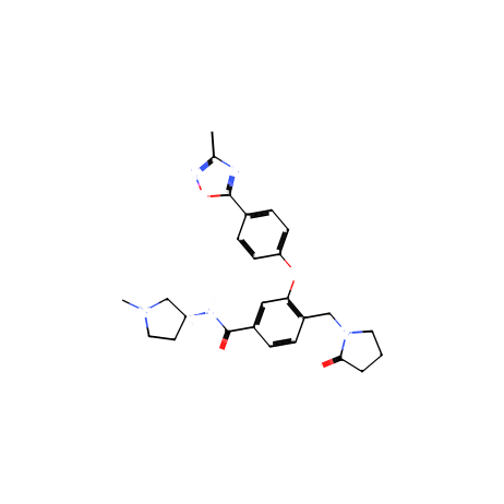 Cc1noc(-c2ccc(Oc3cc(C(=O)N[C@H]4CCN(C)C4)ccc3CN3CCCC3=O)cc2)n1